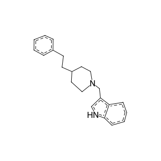 c1ccc(CCC2CCN(Cc3c[nH]c4ccccc34)CC2)cc1